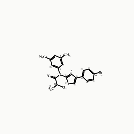 Cc1cc(C)cc(N(C(=O)C(C)Cl)c2nc(-c3ccc(Br)cc3)cs2)c1